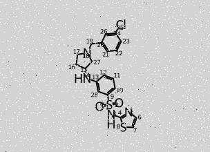 O=S(=O)(Nc1nccs1)c1cccc(N[C@@H]2CCN(Cc3cccc(Cl)c3)C2)c1